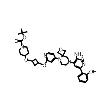 CC(C)(C)OC(=O)N1CCC(OC2CC(Oc3cc(N4CCN(c5cc(-c6ccccc6O)nnc5N)CC45COC5)ccn3)C2)CC1